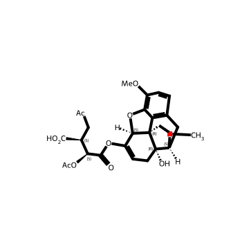 COc1ccc2c3c1O[C@@H]1C(OC(=O)[C@@H](OC(C)=O)[C@H](CC(C)=O)C(=O)O)=CC[C@]4(O)[C@H](C2)N(C)CC[C@@]314